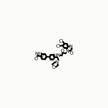 NC(=O)c1ccc(-c2ccc(C(CN3CCOCC3)NCC(=O)Cn3c(=O)cnc4cc(Cl)c(Cl)cc43)cc2)cc1